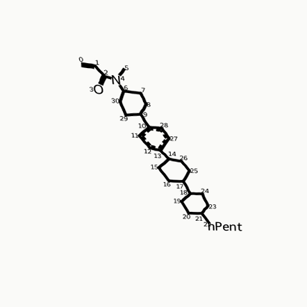 C=CC(=O)N(C)C1CCC(c2ccc(C3CCC(C4CCC(CCCCC)CC4)CC3)cc2)CC1